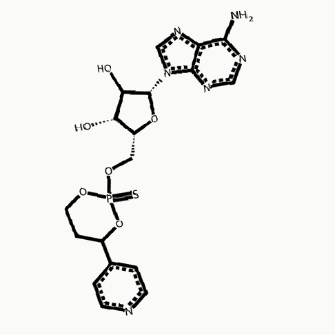 Nc1ncnc2c1ncn2[C@@H]1O[C@H](COP2(=S)OCCC(c3ccncc3)O2)[C@H](O)C1O